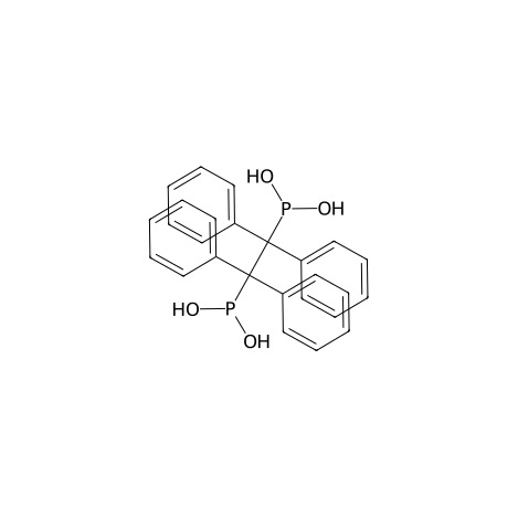 OP(O)C(c1ccccc1)(c1ccccc1)C(c1ccccc1)(c1ccccc1)P(O)O